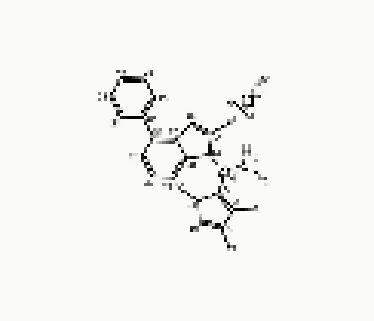 CC.C[SiH2][Zr+2]([C]1=C(C)C(C)=CC1C)[CH]1C(C)=Cc2c(-c3ccccc3)cccc21.[Cl-].[Cl-]